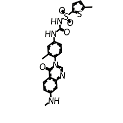 CNc1ccc2c(=O)n(-c3ccc(NC(=O)NS(=O)(=O)c4ccc(C)s4)cc3C)cnc2c1